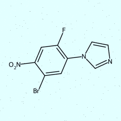 O=[N+]([O-])c1cc(F)c(-n2ccnc2)cc1Br